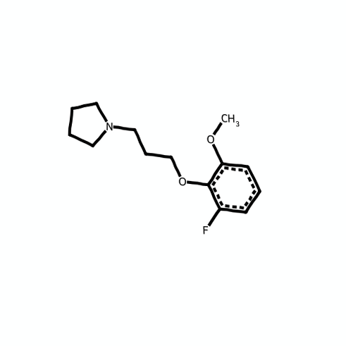 COc1cccc(F)c1OCCCN1CCCC1